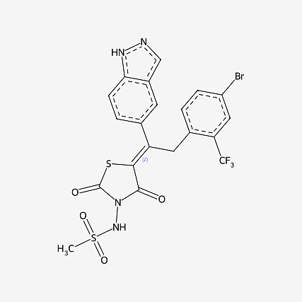 CS(=O)(=O)NN1C(=O)S/C(=C(/Cc2ccc(Br)cc2C(F)(F)F)c2ccc3[nH]ncc3c2)C1=O